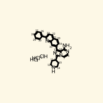 Cl.Cl.Cl.Nc1nccn2c(C3CCNCC3)nc(-c3ccc4ccc(-c5ccccc5)nc4c3)c12